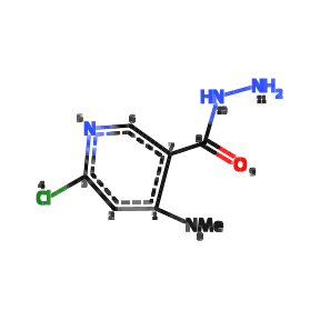 CNc1cc(Cl)ncc1C(=O)NN